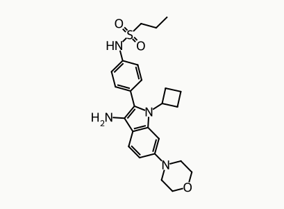 CCCS(=O)(=O)Nc1ccc(-c2c(N)c3ccc(N4CCOCC4)cc3n2C2CCC2)cc1